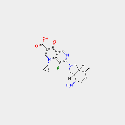 C[C@H]1C=C[C@@H](N)[C@H]2CN(c3ncc4c(=O)c(C(=O)O)cn(C5CC5)c4c3F)C[C@H]21